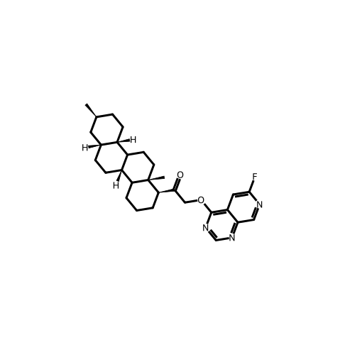 C[C@H]1CC[C@@H]2C3CC[C@@]4(C)C(CCC[C@@H]4C(=O)COc4ncnc5cnc(F)cc45)[C@@H]3CC[C@@H]2C1